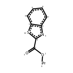 CC(C)OC(=O)c1nc2ccccc2s1